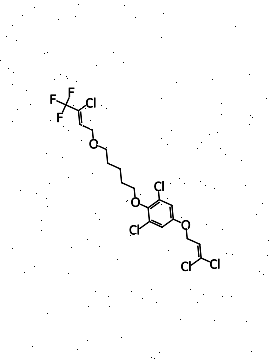 FC(F)(F)/C(Cl)=C/COCCCCCOc1c(Cl)cc(OCC=C(Cl)Cl)cc1Cl